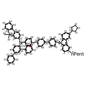 CCCCCc1ccc2c(c1)c1cc(C3CCCC3)ccc1n2-c1ccc(-c2ccc(-c3ccc(N(c4ccc5c(c4)C(C)(C)c4ccccc4-5)c4ccc(-c5ccccc5)cc4-c4ccccc4)cc3)cc2)cc1